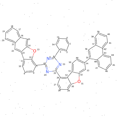 c1ccc(-c2nc(-c3cccc4c3oc3cc5ccccc5cc34)nc(-c3cccc4oc5cc(-c6cc7ccccc7c7ccccc67)ccc5c34)n2)cc1